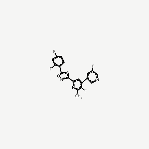 Cc1nc(-c2noc(-c3ccc(F)cc3F)n2)cc(-c2cncc(F)c2)c1F